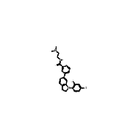 CN(C)CCNC(=O)c1cccc(-c2ccc3c(c2)N(c2ccc(Cl)cc2Cl)CC3)c1